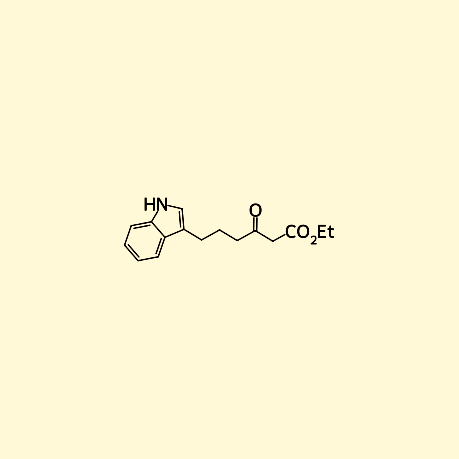 CCOC(=O)CC(=O)CCCc1c[nH]c2ccccc12